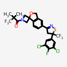 CC(C)(C(=O)N1CC2(C1)OCc1cc(C3=NSC(c4cc(Cl)c(F)c(Cl)c4)(C(F)(F)F)C3)ccc12)C(F)(F)F